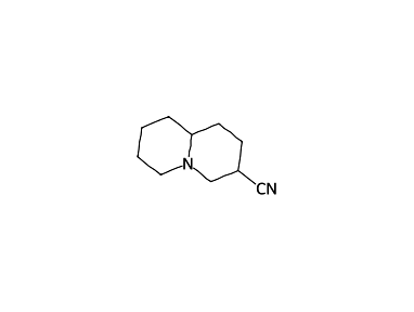 N#CC1CCC2CCCCN2C1